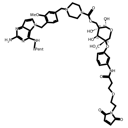 CCCCCNc1nc(N)nc2ccn(Cc3ccc(CN4CCN(C(=O)OC[C@@]5(O)[C@H](O)OC[C@@](Oc6cccc(NC(=O)CCOCCN7C(=O)C=CC7=O)c6)(C(=O)O)[C@H]5O)CC4)cc3OC)c12